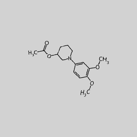 COc1ccc(N2CCCC(OC(C)=O)C2)cc1OC